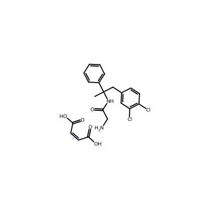 CC(Cc1ccc(Cl)c(Cl)c1)(NC(=O)CN)c1ccccc1.O=C(O)/C=C\C(=O)O